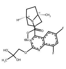 CC(O)(O)COc1nc(N2C[C@H]3CC[C@@](C)(C2)N3C(=O)OC(C)(C)C)c2cc(F)cc(F)c2n1